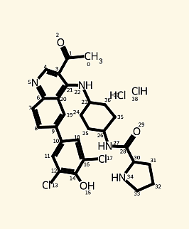 CC(=O)c1cnc2ccc(-c3cc(Cl)c(O)c(Cl)c3)cc2c1NC1CCC(NC(=O)C2CCCN2)CC1.Cl.Cl